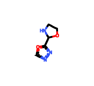 [c]1nnc(C2NCCO2)o1